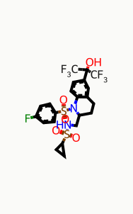 O=S(=O)(NCC1CCc2cc(C(O)(C(F)(F)F)C(F)(F)F)ccc2N1S(=O)(=O)c1ccc(F)cc1)C1CC1